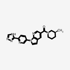 C[C@H]1CCCN(C(=O)c2cnc3c(ccn3-c3ccc(-c4nnc[nH]4)nc3)c2)C1